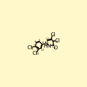 O=C1NN(c2ccc(Cl)c(Cl)c2)C=C(Cl)C1Cl